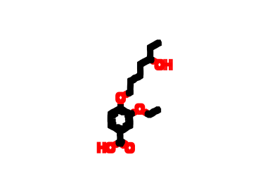 CCOc1cc(C(=O)O)ccc1OCCCCC(O)CC